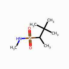 CNS(=O)(=O)C(C)C(C)(C)C